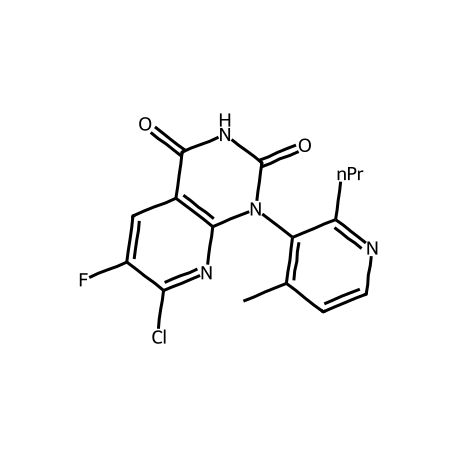 CCCc1nccc(C)c1-n1c(=O)[nH]c(=O)c2cc(F)c(Cl)nc21